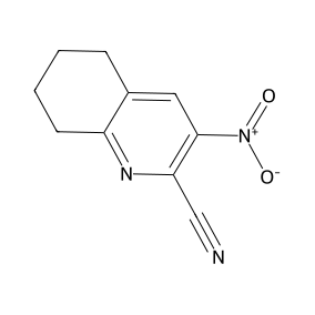 N#Cc1nc2c(cc1[N+](=O)[O-])CCCC2